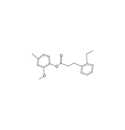 CCc1ccccc1CCC(=O)Oc1ccc(C)cc1OC